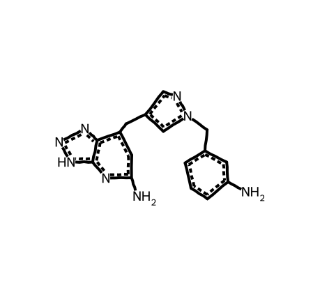 Nc1cccc(Cn2cc(Cc3cc(N)nc4[nH]nnc34)cn2)c1